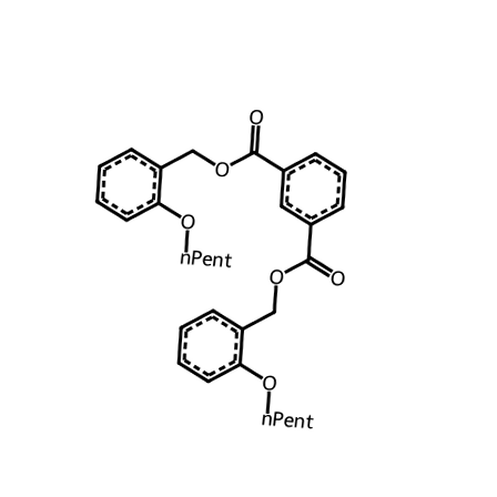 CCCCCOc1ccccc1COC(=O)c1cccc(C(=O)OCc2ccccc2OCCCCC)c1